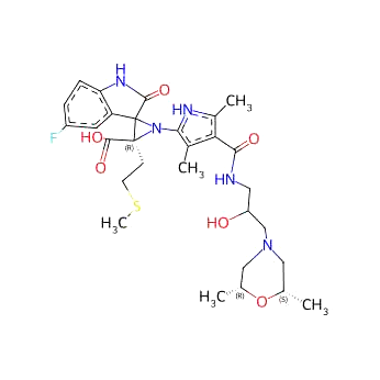 CSCC[C@@]1(C(=O)O)N(c2[nH]c(C)c(C(=O)NCC(O)CN3C[C@@H](C)O[C@@H](C)C3)c2C)C12C(=O)Nc1ccc(F)cc12